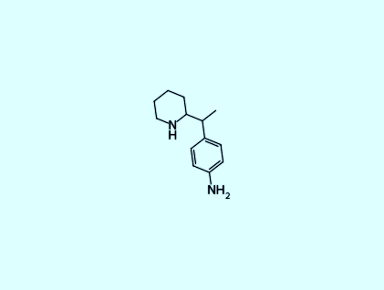 CC(c1ccc(N)cc1)C1CCCCN1